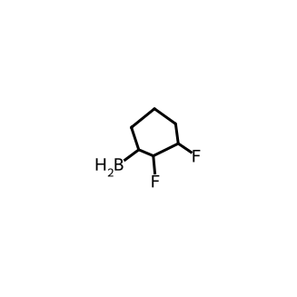 BC1CCCC(F)C1F